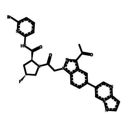 CC(=O)c1nn(CC(=O)N2C[C@H](F)C[C@H]2C(=O)Nc2cccc(Br)n2)c2ccc(-c3cnc4ccnn4c3)cc12